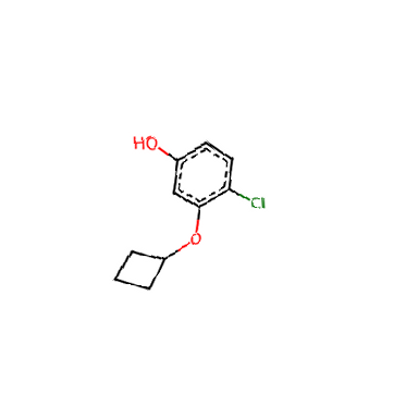 Oc1ccc(Cl)c(OC2CCC2)c1